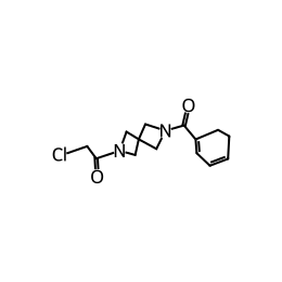 O=C(CCl)N1CC2(C1)CN(C(=O)C1=CC=CCC1)C2